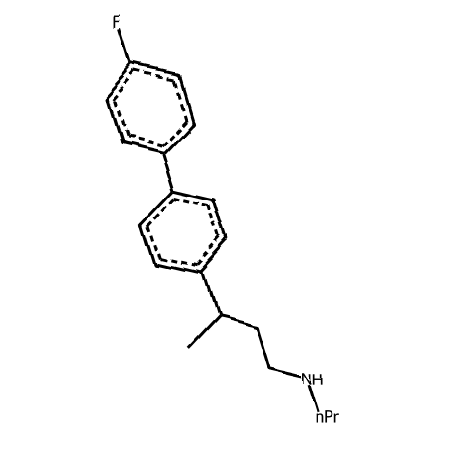 CCCNCCC(C)c1ccc(-c2ccc(F)cc2)cc1